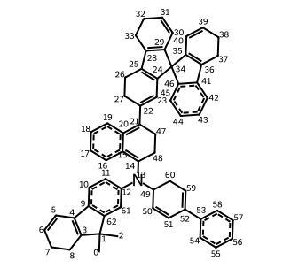 CC1(C)C2=C(C=CCC2)c2ccc(N(C3=c4ccccc4=C(C4=CC5=C(CC4)C4=C(C=CCC4)C54C5=C(CCC=C5)c5ccccc54)CC3)C3C=CC(c4ccccc4)=CC3)cc21